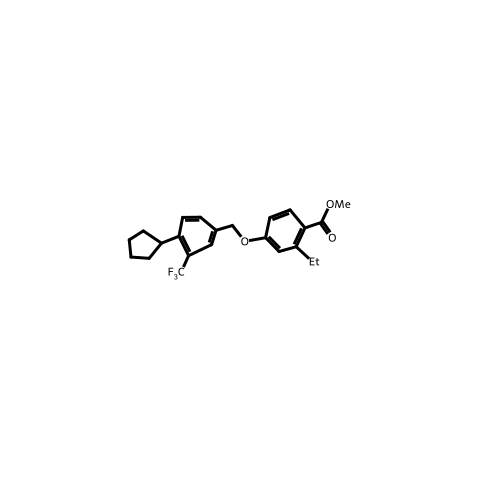 CCc1cc(OCc2ccc(C3CCCC3)c(C(F)(F)F)c2)ccc1C(=O)OC